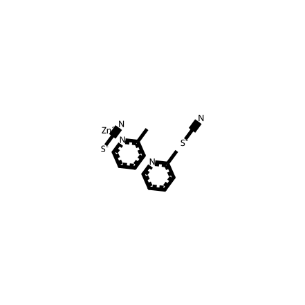 Cc1ccccn1.Cc1ccccn1.N#C[S-].N#C[S-].[Zn+2]